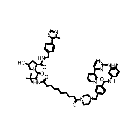 Cc1ccc(NC(=O)c2ccc(CN3CCN(C(=O)CCCCCCCCC(=O)N[C@H](C(=O)N4CC(O)CC4C(=O)NCc4ccc(-c5scnc5C)cc4)C(C)(C)C)CC3)cc2)cc1Nc1nccc(-c2cccnc2)n1